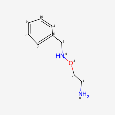 NCCONCc1ccccc1